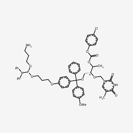 COc1ccc(C(OC[C@@H](OCn2cc(C)c(=O)[nH]c2=O)C(C)OC(=O)Oc2ccc(Cl)cc2)(c2ccccc2)c2ccc(OCCCOP(OCCCN)N(C(C)C)C(C)C)cc2)cc1